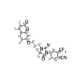 Cc1cc2c(C)c(C)c(=O)oc2cc1OCCCN1C(=S)N(c2ccc(C#N)c(C(F)(F)F)c2)C(=O)C1(C)C